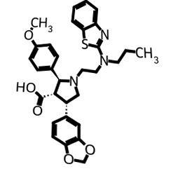 CCCN(CCN1C[C@H](c2ccc3c(c2)OCO3)[C@H](C(=O)O)[C@H]1c1ccc(OC)cc1)c1nc2ccccc2s1